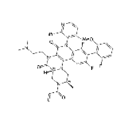 C=CC(=O)N1C[C@@H]2C(=O)N(CCN(C)C)c3c(c4cc(F)c(-c5c(F)cccc5OC)c(F)c4n(-c4c(C)ccnc4C(C)C)c3=O)N2C[C@H]1C